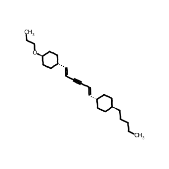 CCCCC[C@H]1CC[C@H](C=CC#CC=C[C@H]2CC[C@H](OCCC)CC2)CC1